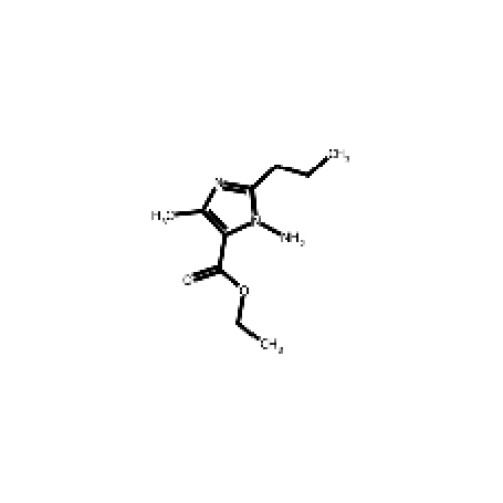 CCCc1nc(C)c(C(=O)OCC)n1N